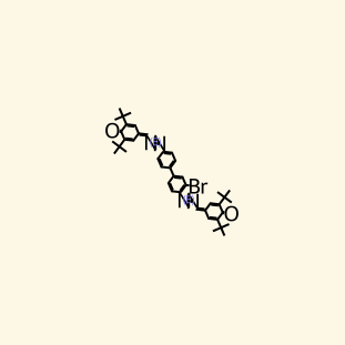 CC(C)(C)C1=CC(=C/N=N/c2ccc(-c3ccc(/N=N/C=C4C=C(C(C)(C)C)C(=O)C(C(C)(C)C)=C4)c(Br)c3)cc2)C=C(C(C)(C)C)C1=O